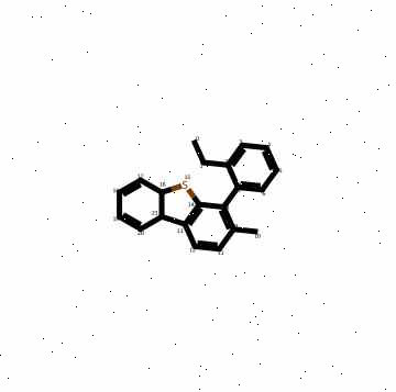 CCc1ccccc1-c1c(C)ccc2c1SC1C=CC=CC21